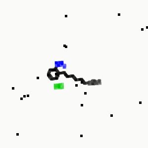 CCCCCCCCCCCCCCc1ccccc1N.Cl